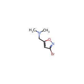 CN(C)Cc1cc(Br)no1